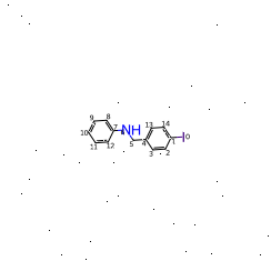 Ic1ccc(CNc2ccccc2)cc1